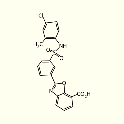 Cc1cc(Cl)ccc1NS(=O)(=O)c1cccc(-c2nc3cccc(C(=O)O)c3o2)c1